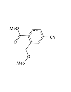 COC(=O)c1ccc(C#N)cc1COSC